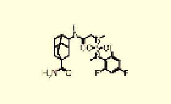 CN(CC(=O)NC1C2CC3CC1CC(C(N)=O)(C3)C2)S(=O)(=O)N(C)c1c(F)cc(F)cc1F